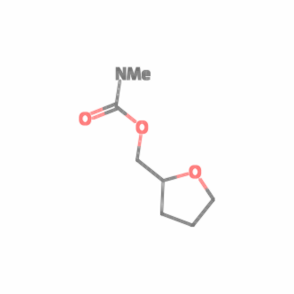 CNC(=O)OCC1CCCO1